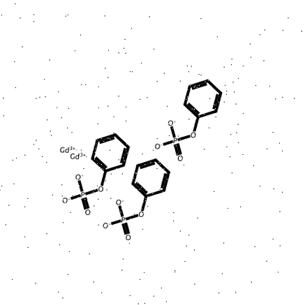 O=P([O-])([O-])Oc1ccccc1.O=P([O-])([O-])Oc1ccccc1.O=P([O-])([O-])Oc1ccccc1.[Gd+3].[Gd+3]